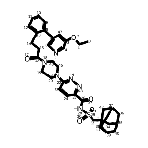 CCOc1cncc(-c2ccccc2CCC(=O)N2CCN(c3ccc(C(=O)NS(=O)(=O)CC45CC6CC(CC(C6)C4)C5)nn3)CC2)c1